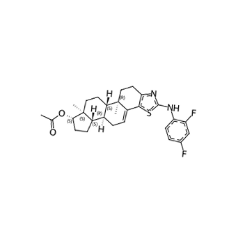 CC(=O)O[C@H]1CC[C@H]2[C@@H]3CC=C4c5sc(Nc6ccc(F)cc6F)nc5CC[C@]4(C)[C@H]3CC[C@]12C